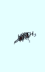 CS(=N)(=O)c1cccc(Sc2ncc(N3[C@@H]4CC[C@H]3C[C@@]3(Cc5ccc(F)cc5C3)C4)nc2N)c1Cl